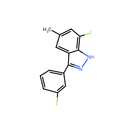 Cc1cc(F)c2[nH]nc(-c3cccc(F)c3)c2c1